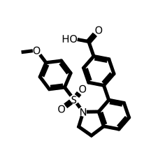 COc1ccc(S(=O)(=O)N2CCc3cccc(-c4ccc(C(=O)O)cc4)c32)cc1